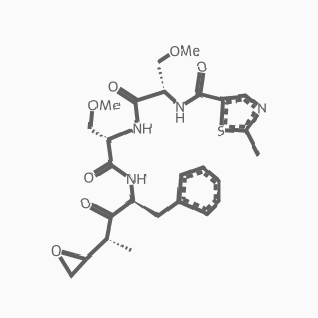 COC[C@H](NC(=O)c1cnc(C)s1)C(=O)N[C@@H](COC)C(=O)N[C@@H](Cc1ccccc1)C(=O)[C@H](C)C1CO1